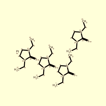 CCN1CCN(CC)C1=S.CCN1CCN(CC)C1=S.CCN1CCN(CC)C1=S.CCN1CCN(CC)C1=S.[Pt]